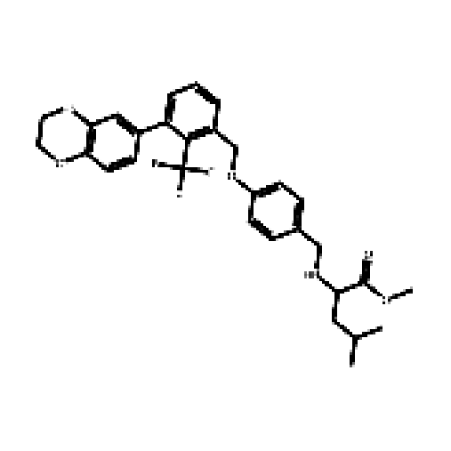 COC(=O)C(CC(C)C)NCc1ccc(OCc2cccc(-c3ccc4c(c3)OCCO4)c2C(F)(F)F)cc1